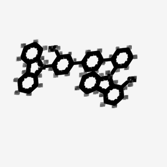 N#Cc1cc(-c2ccc(-c3ccccc3-n3c4ccccc4c4cccc(C#N)c43)cc2)ccc1-n1c2ccccc2c2ccccc21